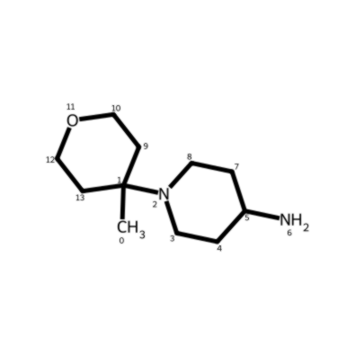 CC1(N2CCC(N)CC2)CCOCC1